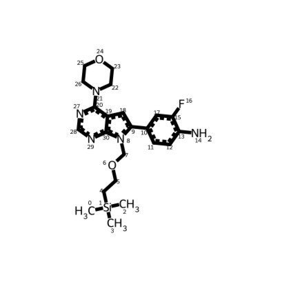 C[Si](C)(C)CCOCn1c(-c2ccc(N)c(F)c2)cc2c(N3CCOCC3)ncnc21